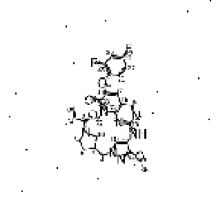 C=CC(=O)N1CCC(Cn2cc(Nc3ncc4cc(Oc5ccc(F)cc5F)c(=O)n(C)c4n3)c(OC)n2)C1